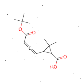 CC(C)(C)OC(=O)C=C=CC1C(C(=O)O)C1(C)C